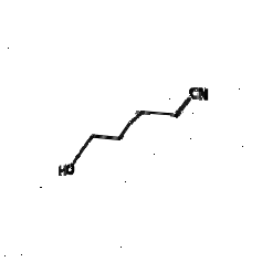 N#CC[CH]CCO